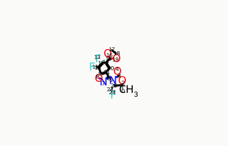 C[C@H]1OC(=O)N(c2noc3c(F)c(F)c(C4OCCO4)cc23)[C@H]1CF